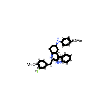 COc1ccc(NC2CCc3nc(Cc4ccc(OC)c(F)c4)c4[nH]c5ccccc5c4c3C2)cc1